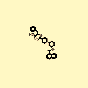 C[C@@H](N[C@H]1CCC[C@H](C2C=CC(C(=O)N[C@H](Cc3ccccc3)C(=O)O)=CC2)C1)c1cccc2ccccc12